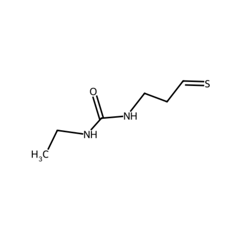 CCNC(=O)NCCC=S